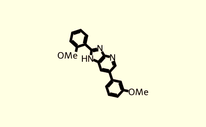 COc1cccc(-c2cnc3nc(-c4ccccc4OC)[nH]c3c2)c1